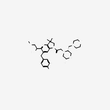 COCC(O)c1nc2c(cc1Cc1ccc(F)cc1)N(C(=O)CN1C[C@@H](C)NC[C@@H]1CN1CCOC[C@H]1C)CC2(C)C